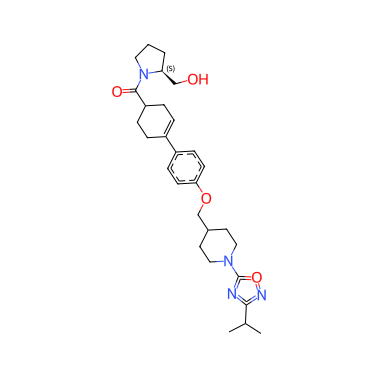 CC(C)c1noc(N2CCC(COc3ccc(C4=CCC(C(=O)N5CCC[C@H]5CO)CC4)cc3)CC2)n1